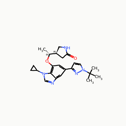 C[C@@H](Oc1cc(-c2ccn(C(C)(C)C)n2)cc2ncn(C3CC3)c12)[C@H]1CNC(=O)C1